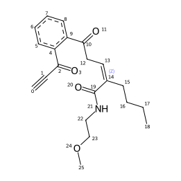 C#CC(=O)c1ccccc1C(=O)C/C=C(/CCCC)C(=O)NCCOC